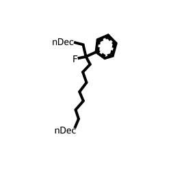 CCCCCCCCCCCCCCCCCC(F)(CCCCCCCCCCC)c1ccccc1